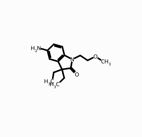 CCC1(CC)C(=O)N(CCOC)c2ccc(N)cc21